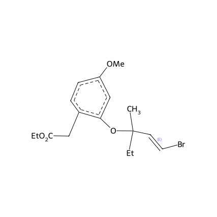 CCOC(=O)Cc1ccc(OC)cc1OC(C)(/C=C/Br)CC